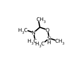 CC(O[SiH](C)C)N(C)C